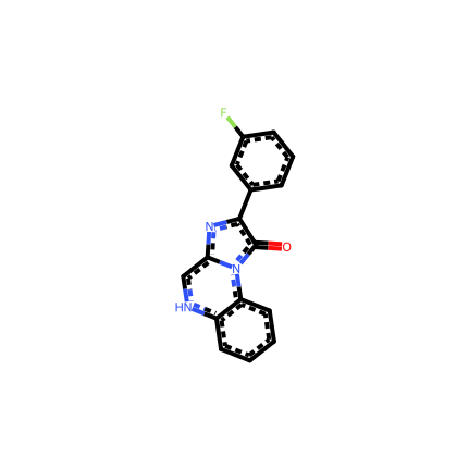 O=c1c(-c2cccc(F)c2)nc2c[nH]c3ccccc3n1-2